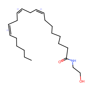 CCCCC/C=C\C/C=C\C/C=C\CCCCCCC(=O)NCCO